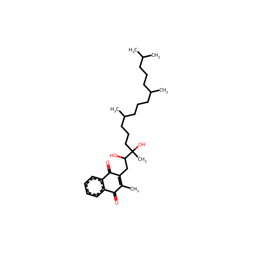 CC1=C(CC(O)C(C)(O)CCCC(C)CCCC(C)CCCC(C)C)C(=O)c2ccccc2C1=O